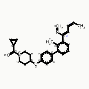 C=N/C(=C\C=C/C)c1cccc(-c2ccc(OC3CCN(C(=O)C4CC4)CC3)cc2)c1C